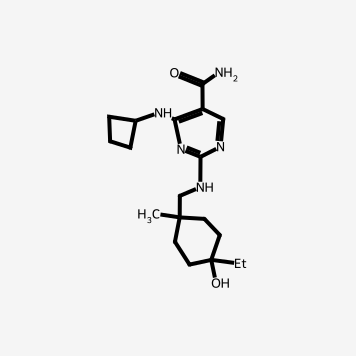 CCC1(O)CCC(C)(CNc2ncc(C(N)=O)c(NC3CCC3)n2)CC1